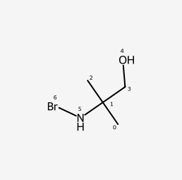 CC(C)(CO)NBr